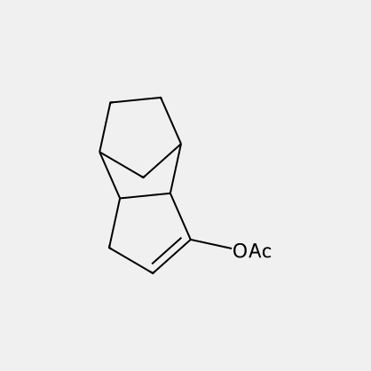 CC(=O)OC1=CCC2C3CCC(C3)C12